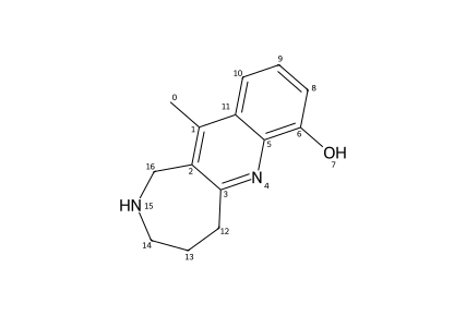 Cc1c2c(nc3c(O)cccc13)CCCNC2